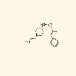 COCCN1CCC(N[C@H]2CC2C(C)=Cc2ccccc2)CC1